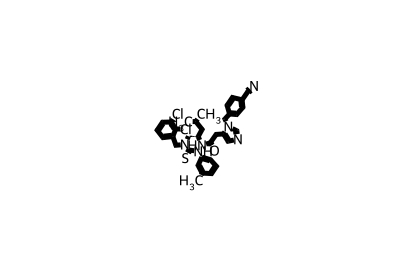 Cc1cccc(NC(=S)N(Cc2cccc(Cl)c2Cl)C[C@H](CC(C)C)NC(=O)Cc2cncn2Cc2ccc(C#N)cc2)c1